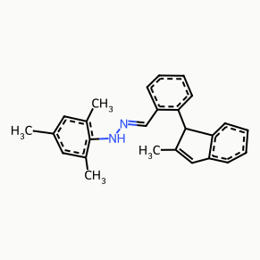 CC1=Cc2ccccc2C1c1ccccc1C=NNc1c(C)cc(C)cc1C